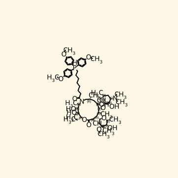 CC[C@H]1OC(=O)[C@H](C)[C@@H](C2C[C@@](C)(OC)[C@@H](O)[C@H](C)O2)[C@H](C)[C@@H](O[C@@H]2O[C@H](C)C[C@H](N(C)C)[C@H]2O)[C@](C)(O)C[C@@H](C)CN(C(=O)CCCCCCC[PH](c2ccc(OC)cc2)(c2ccc(OC)cc2)c2ccc(OC)cc2)[C@H](C)[C@@H](O)[C@]1(C)O